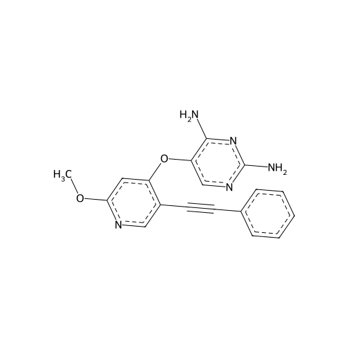 COc1cc(Oc2cnc(N)nc2N)c(C#Cc2ccccc2)cn1